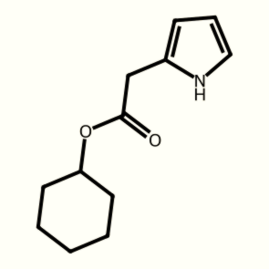 O=C(Cc1ccc[nH]1)OC1CCCCC1